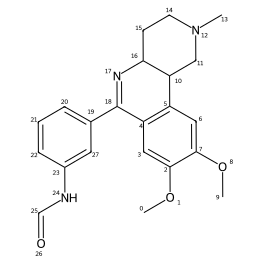 COc1cc2c(cc1OC)C1CN(C)CCC1N=C2c1cccc(NC=O)c1